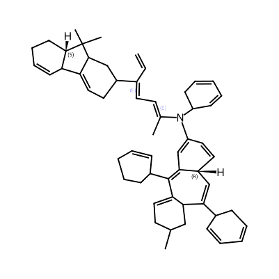 C=C/C(=C\C=C(/C)N(C1=CC2=C(C3C=CCCC3)C3=CCC(C)CC3C(C3C=CC=CC3)=C[C@H]2C=C1)C1C=CC=CC1)C1CC=C2C3C=CCC[C@@H]3C(C)(C)C2C1